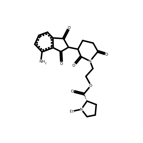 CCN1CCC[C@H]1C(=O)OCCN1C(=O)CCC(C2C(=O)c3cccc(N)c3C2=O)C1=O